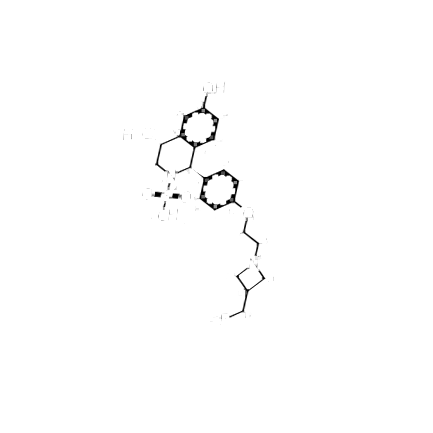 C[C@H]1CN(S(C)(=O)=O)[C@H](c2ccc(OCCN3CC(CF)C3)cc2)c2ccc(O)cc21